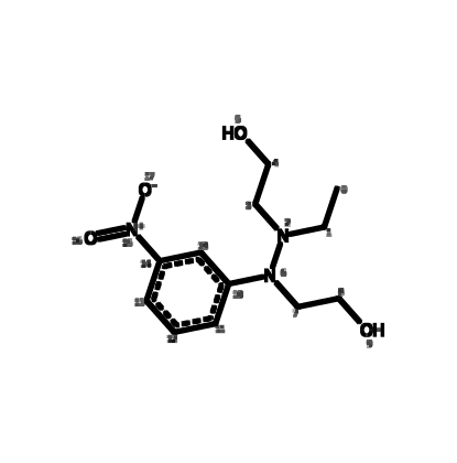 CCN(CCO)N(CCO)c1cccc([N+](=O)[O-])c1